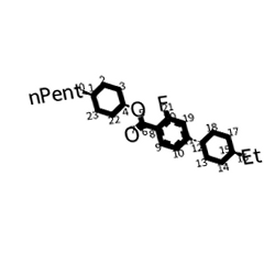 CCCCC[C@H]1CC[C@H](OC(=O)c2ccc([C@H]3CC[C@H](CC)CC3)cc2F)CC1